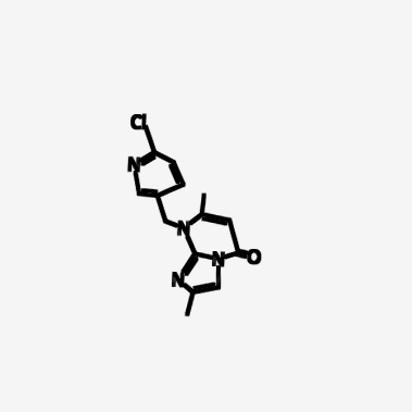 Cc1cn2c(=O)cc(C)n(Cc3ccc(Cl)nc3)c2n1